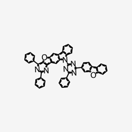 c1ccc(-c2nc(-c3ccc4c(c3)oc3ccccc34)nc(-n3c4ccccc4c4cc5oc6c(-c7ccccc7)nc(-c7ccccc7)nc6c5cc43)n2)cc1